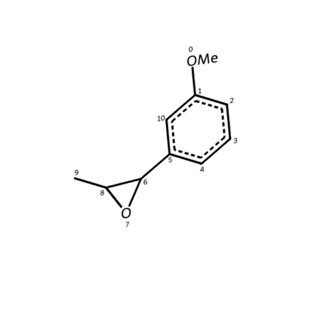 COc1cccc(C2OC2C)c1